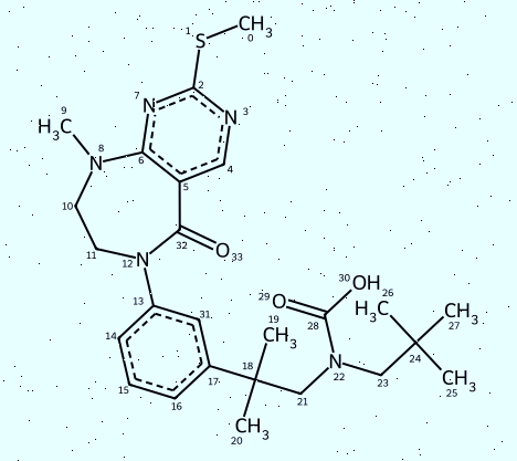 CSc1ncc2c(n1)N(C)CCN(c1cccc(C(C)(C)CN(CC(C)(C)C)C(=O)O)c1)C2=O